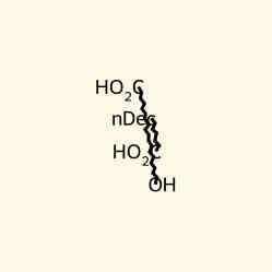 CCCCCCCCCCCCCCCC(=O)O.O=C(O)CCCCCCCCCCCCCCCCCO